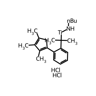 CCCC[NH][Ti][C](C)(C)c1ccccc1C1=C(C)C(C)=C(C)C1.Cl.Cl